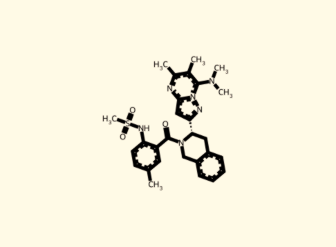 Cc1ccc(NS(C)(=O)=O)c(C(=O)N2Cc3ccccc3C[C@H]2c2cc3nc(C)c(C)c(N(C)C)n3n2)c1